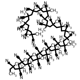 CCC(C)(C#N)CC(C)(C#N)CC(C)(C#N)CC(C)(C#N)CC(C)(C#N)CC(C)(C#N)CC(C)(C#N)CC(C)(C#N)CC(C)(C#N)CC(C)(C#N)CC(C)(C#N)CC(C)(C#N)CC(C)(C#N)CC(C)(C#N)CC(C)(C#N)CC(C)(C#N)CC(C)(C#N)CC(C)(C#N)CC(C)(C#N)CC(C)(C#N)CC(C)(C#N)CC(C)(C#N)CC(C)(C#N)CC(C)(C#N)CC(C)(C)C#N